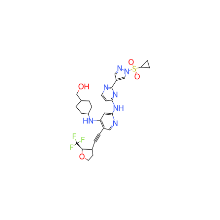 O=S(=O)(C1CC1)n1cc(-c2nccc(Nc3cc(NC4CCC(CO)CC4)c(C#CC4CCO[C@H]4C(F)(F)F)cn3)n2)cn1